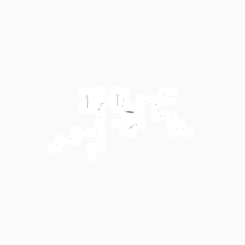 CCCCC(CC)CC1=[C]([Ti][C]2=C(CC(CC)CCCC)C=CC2)CC=C1